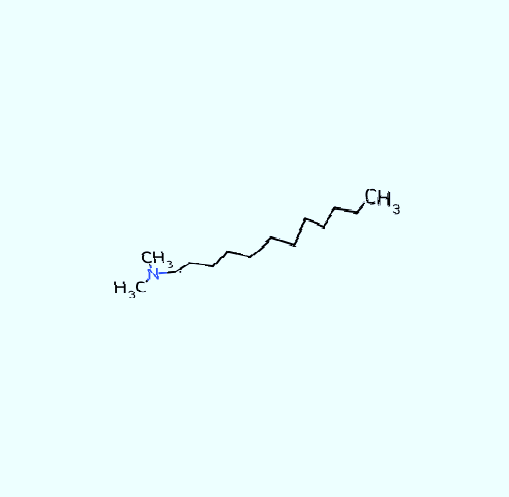 CCCCCCCCCCC[CH]N(C)C